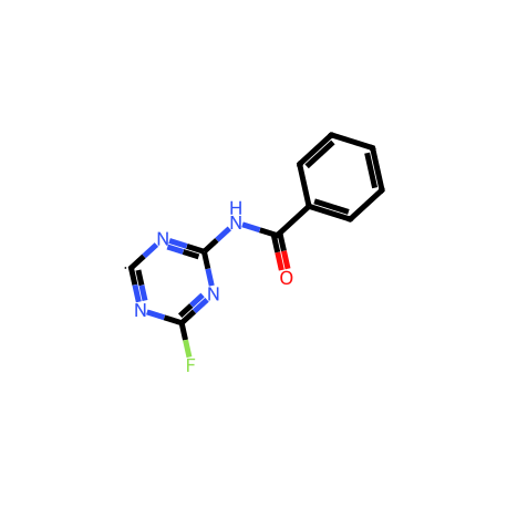 O=C(Nc1n[c]nc(F)n1)c1ccccc1